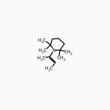 CC=C(C)N1C(C)(C)CCCC1(C)C